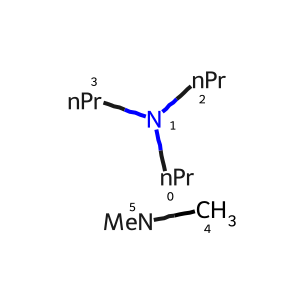 CCCN(CCC)CCC.CNC